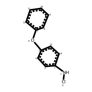 ClNc1ccc(Oc2ccccc2)cc1